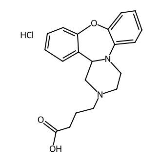 Cl.O=C(O)CCCN1CCN2c3ccccc3Oc3ccccc3C2C1